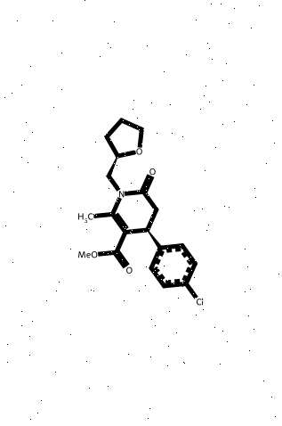 COC(=O)C1=C(C)N(C[C@H]2CCCO2)C(=O)C[C@H]1c1ccc(Cl)cc1